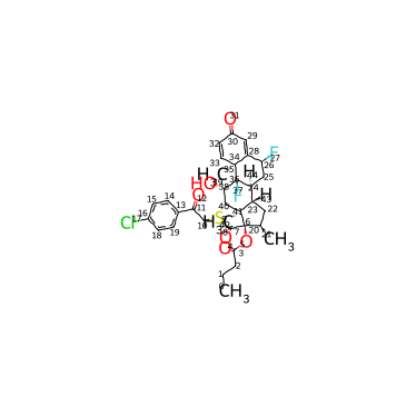 CCCC(=O)O[C@]1(C(=O)SCC(=O)c2ccc(Cl)cc2)[C@H](C)C[C@H]2[C@@H]3C[C@H](F)C4=CC(=O)C=C[C@]4(C)[C@@]3(F)[C@@H](O)C[C@@]21C